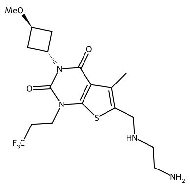 CO[C@H]1C[C@H](n2c(=O)c3c(C)c(CNCCN)sc3n(CCC(F)(F)F)c2=O)C1